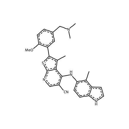 COc1ccc(CN(C)C)cc1-c1sc2ncc(C#N)c(Nc3ccc4[nH]ccc4c3C)c2c1C